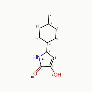 CC1CCC(C2C=C(O)C(=O)N2)CC1